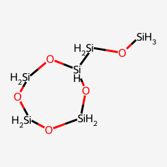 [SiH3]O[SiH2][SiH]1O[SiH2]O[SiH2]O[SiH2]O1